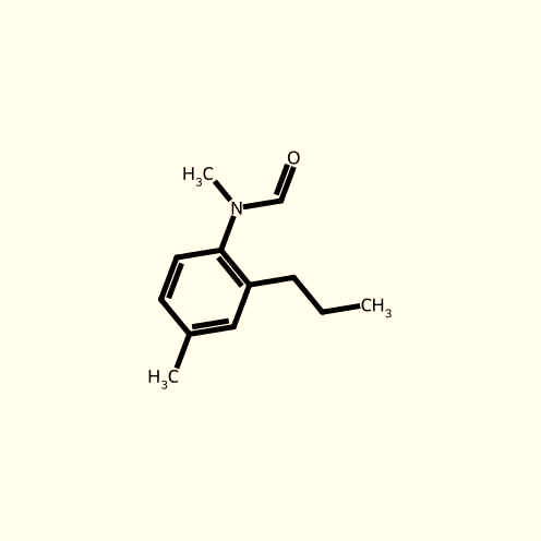 CCCc1cc(C)ccc1N(C)C=O